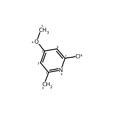 [CH2]c1cc(OC)cc(Cl)n1